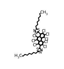 CCCCCCCCc1nnc(-c2c(Cl)c(Cl)c3c(c2Cl)c(Cl)c(Cl)c2c(-c4nnc(CCCCCCCC)s4)c(Cl)c(Cl)c(Cl)c23)s1